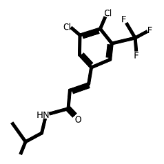 CC(C)CNC(=O)/C=C/c1cc(Cl)c(Cl)c(C(F)(F)F)c1